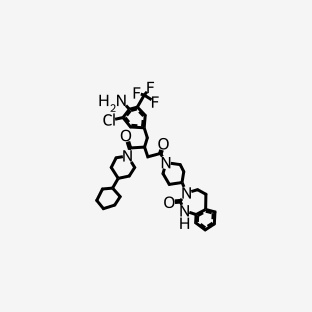 Nc1c(Cl)cc(CC(CC(=O)N2CCC(N3CCc4ccccc4NC3=O)CC2)C(=O)N2CCC(C3CCCCC3)CC2)cc1C(F)(F)F